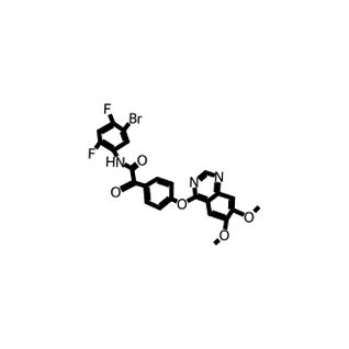 COc1cc2ncnc(Oc3ccc(C(=O)C(=O)Nc4cc(Br)c(F)cc4F)cc3)c2cc1OC